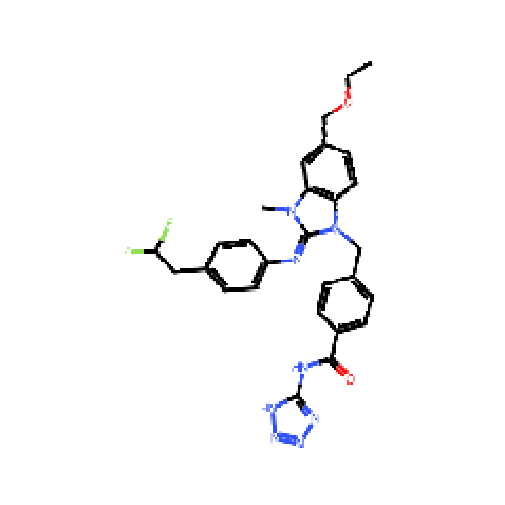 CCOCc1ccc2c(c1)n(C)c(=Nc1ccc(CC(F)F)cc1)n2Cc1ccc(C(=O)Nc2nnn[nH]2)cc1